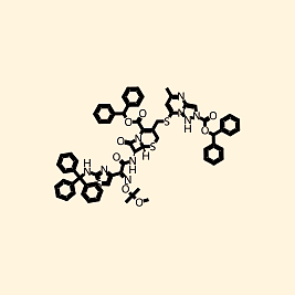 COC(C)(C)ON=C(C(=O)N[C@@H]1C(=O)N2C(C(=O)OC(c3ccccc3)c3ccccc3)=C(CSC3=CC(C)=NC4=CN(C(=O)OC(c5ccccc5)c5ccccc5)NN43)CS[C@H]12)c1csc(NC(c2ccccc2)(c2ccccc2)c2ccccc2)n1